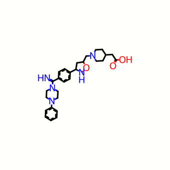 N=C(c1ccc(C2CC(CN3CCC(CC(=O)O)CC3)ON2)cc1)N1CCN(c2ccccc2)CC1